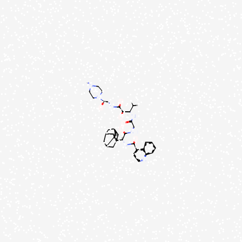 CC(C)[C@H](NC(=O)[C@H](C)NC(=O)[C@@H](NC(=O)c1ccnc2ccccc12)C12CC3CC(CC(C3)C1)C2)C(=O)C(=O)NCC(=O)N1CCN(C)CC1